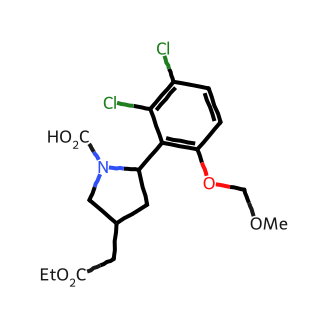 CCOC(=O)CC1CC(c2c(OCOC)ccc(Cl)c2Cl)N(C(=O)O)C1